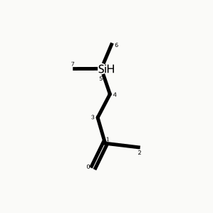 C=C(C)CC[SiH](C)C